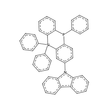 c1ccc(P2c3ccccc3[Si](c3ccccc3)(c3ccccc3)c3cc(-n4c5ccccc5c5ccccc54)ccc32)cc1